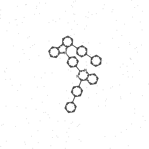 c1ccc(-c2ccc(-c3nc(-c4ccc(-n5c6ccccc6c6cccc(-c7ccc(-c8ccccc8)cc7)c65)cc4)nc4ccccc34)cc2)cc1